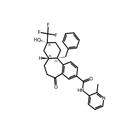 Cc1ncccc1NC(=O)c1ccc2c(c1)C(=O)CC[C@@H]1C[C@@](O)(C(F)(F)F)CC[C@@]21Cc1ccccc1